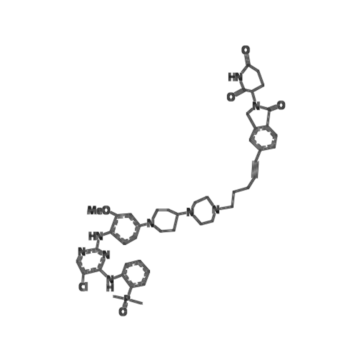 COc1cc(N2CCC(N3CCN(CCCC#Cc4ccc5c(c4)CN(C4CCC(=O)NC4=O)C5=O)CC3)CC2)ccc1Nc1ncc(Cl)c(Nc2ccccc2P(C)(C)=O)n1